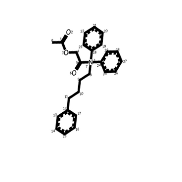 CC(=O)OCC(=O)[N+](CCCCc1ccccc1)(c1ccccc1)c1ccccc1